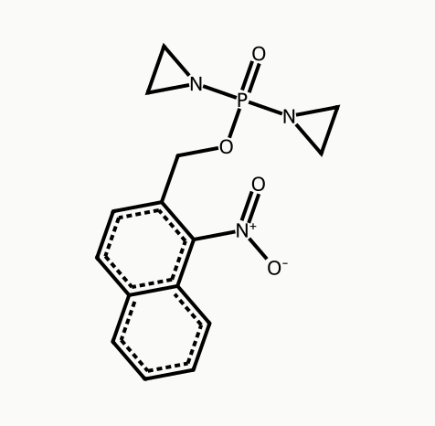 O=[N+]([O-])c1c(COP(=O)(N2CC2)N2CC2)ccc2ccccc12